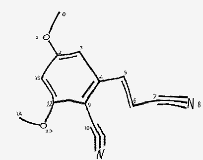 COc1cc(C=CC#N)c(C#N)c(OC)c1